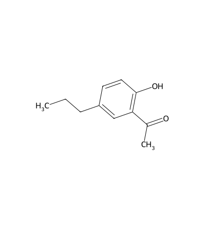 CCCc1ccc(O)c(C(C)=O)c1